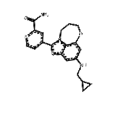 NC(=O)c1cc(-c2nc3cc(NCC4CC4)cc4c3n2CCCO4)ccn1